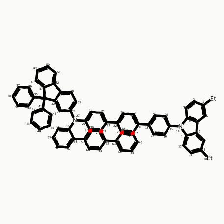 CCc1ccc2c(c1)c1cc(CC)ccc1n2-c1ccc(-c2ccc(-c3ccc(N(c4ccc5c(c4)C(c4ccccc4)(c4ccccc4)c4ccccc4-5)c4ccccc4-c4ccc(-c5ccccc5)cc4)cc3)cc2)cc1